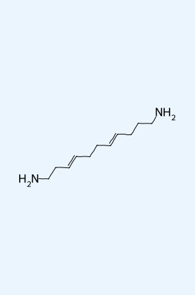 NCCC=CCCC=CCCCN